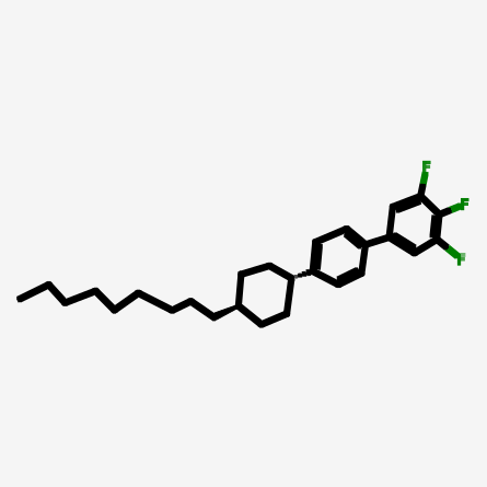 CCCCCCCCC[C@H]1CC[C@H](c2ccc(-c3cc(F)c(F)c(F)c3)cc2)CC1